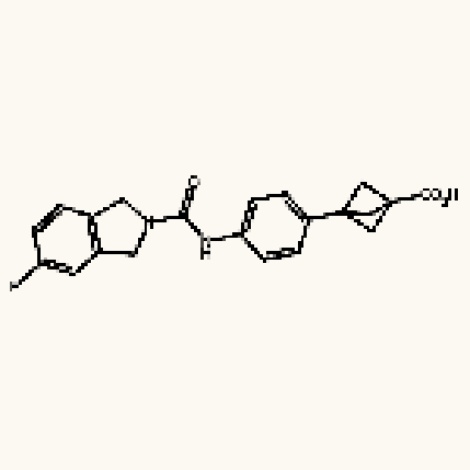 O=C(Nc1ccc(C23CC(C(=O)O)(C2)C3)cc1)N1Cc2ccc(F)cc2C1